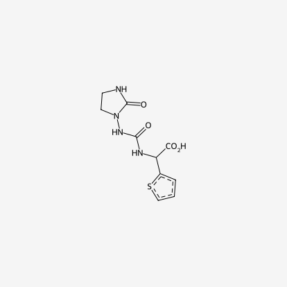 O=C(NC(C(=O)O)c1cccs1)NN1CCNC1=O